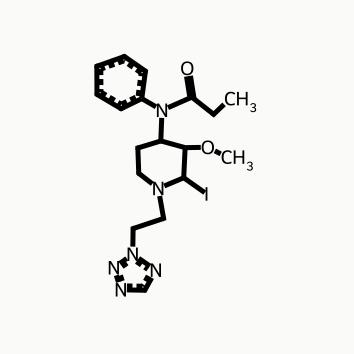 CCC(=O)N(c1ccccc1)C1CCN(CCn2ncnn2)C(I)C1OC